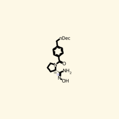 CCCCCCCCCCCc1ccc(C(=O)N2CCC[C@H]2/C(N)=N/O)cc1